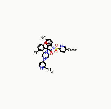 CCOc1ccc(CC)cc1C1(N2CCN(c3ccnc(C)c3)CC2)C(=O)N(S(=O)(=O)c2ccc(OC)cn2)c2ccc(C#N)cc21